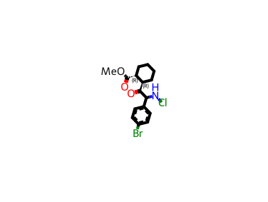 COC(=O)[C@@H]1CCCC[C@H]1C(=O)C(NCl)c1ccc(Br)cc1